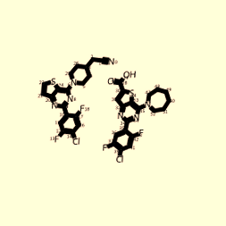 N#CCC1CCN(c2nc(-c3cc(F)c(Cl)cc3F)nc3ccsc23)CC1.O=C(O)c1cc2nc(-c3cc(F)c(Cl)cc3F)nc(N3CCCCCC3)c2s1